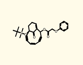 CC(C)(C)[Si](C)(C)OC12C#CC=CC#CC(OC(=O)COc3ccccc3)C(=CCC1)C2=O